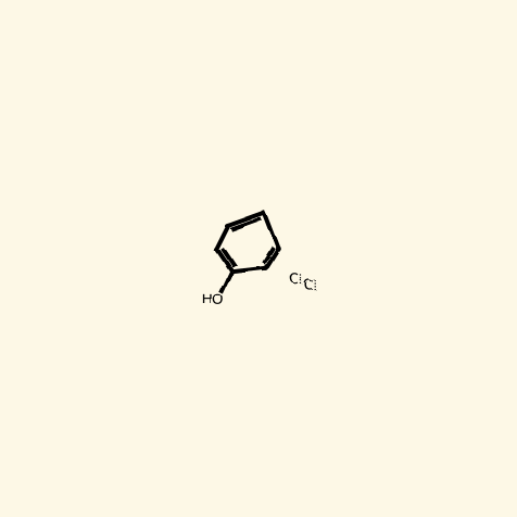 Oc1ccccc1.[C].[C]